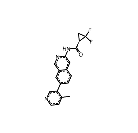 Cc1ccncc1-c1ccc2cc(NC(=O)[C@H]3CC3(F)F)ncc2c1